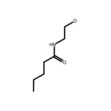 CCCCC(=O)NCC[O]